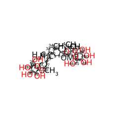 COC1OC23C=CC4C1(CCC1(C)C(C(C)C/C=C/C(C)(C)OC5OC(CO)C(O)C(O)C5O)CCC41C)C2CCC(OC1OC(CO)C(O)C(O)C1O)C3(C)C